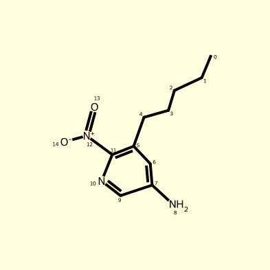 CCCCCc1cc(N)cnc1[N+](=O)[O-]